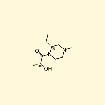 CC[C@@H]1CN(C)CCN1C(=O)[C@@H](C)O